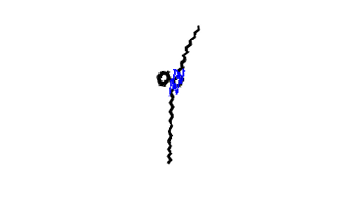 CCCCCCCCCCCCCCCCCN1C=CN(CCCCCCCCCCCCC)C1c1ccccc1